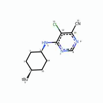 CC(C)(C)[C@H]1CC[C@@H](Nc2ncnc(C#N)c2Cl)CC1